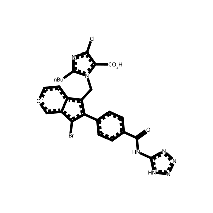 CCCCc1nc(Cl)c(C(=O)O)n1Cc1c2ccocc-2c(Br)c1-c1ccc(C(=O)Nc2nnn[nH]2)cc1